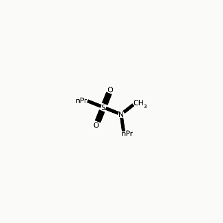 CCCN(C)S(=O)(=O)CCC